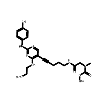 COCCNc1nc(Nc2ccc(C#N)cc2)ncc1C#CCCCNC(=O)CN(C)C(=O)OC(C)(C)C